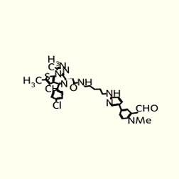 CNc1ccc(-c2ccc(NCCCCCNC(=O)C[C@@H]3N=C(c4ccc(Cl)cc4)c4c(sc(C)c4C)-n4c(C)nnc43)nc2)cc1CC=O